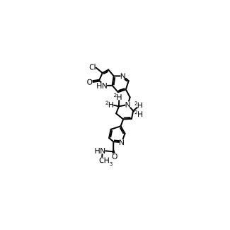 [2H]C1([2H])C=C(c2ccc(C(=O)NC)nc2)CC([2H])([2H])N1Cc1cnc2cc(Cl)c(=O)[nH]c2c1